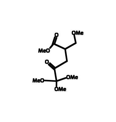 COCC(CC(=O)C(OC)(OC)OC)C(=O)OC